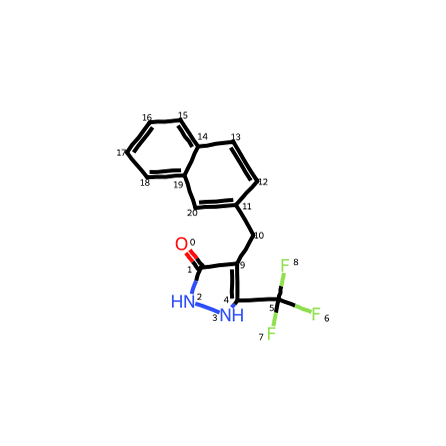 O=c1[nH][nH]c(C(F)(F)F)c1Cc1ccc2ccccc2c1